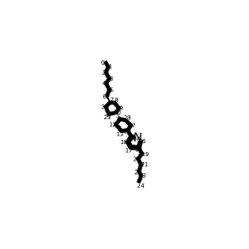 CCCCCCC[C@H]1CC[C@H](C2CCC(c3ccc(CCCCCC)cn3)CC2)CC1